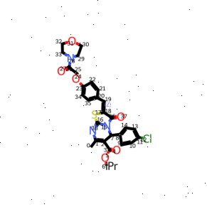 CC1=C(C(=O)OC(C)C)C(c2ccc(Cl)cc2)n2c(s/c(=C\c3ccc(OCC(=O)N4CCOCC4)cc3)c2=O)=N1